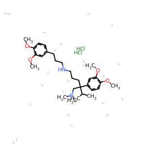 COc1ccc(CCCNCCCC(CN(C)C)(c2ccc(OC)c(OC)c2)C(C)C)cc1OC.Cl.Cl